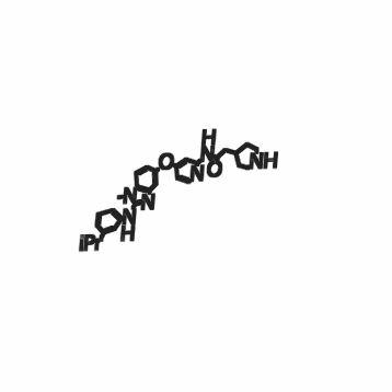 CC(C)c1cccc(Nc2nc3cc(Oc4ccnc(NC(=O)CC5CCNCC5)c4)ccc3n2C)c1